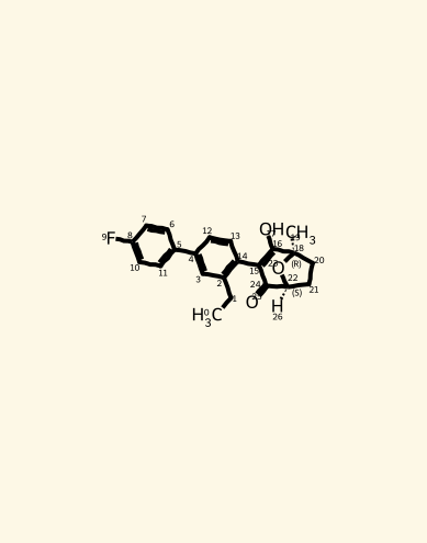 CCc1cc(-c2ccc(F)cc2)ccc1C1=C(O)[C@@]2(C)CC[C@H](O2)C1=O